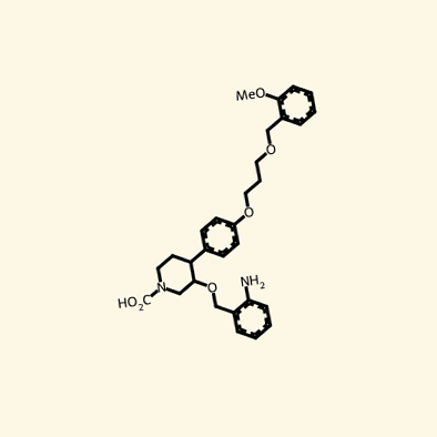 COc1ccccc1COCCCOc1ccc(C2CCN(C(=O)O)CC2OCc2ccccc2N)cc1